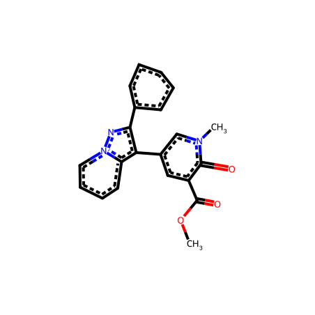 COC(=O)c1cc(-c2c(-c3ccccc3)nn3ccccc23)cn(C)c1=O